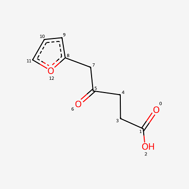 O=C(O)CCC(=O)Cc1ccco1